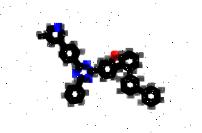 Cc1cncc(-c2ccc(-c3nc(-c4ccccc4)nc(-c4ccc5c(c4)oc4cccc(-c6cccc(-c7ccccc7)c6)c45)n3)cc2)c1